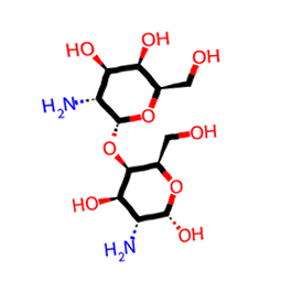 N[C@@H]1[C@@H](O)[C@@H](O[C@H]2O[C@H](CO)[C@H](O)[C@H](O)[C@H]2N)[C@@H](CO)O[C@@H]1O